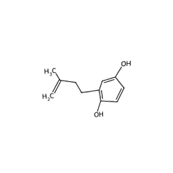 C=C(C)CCc1cc(O)ccc1O